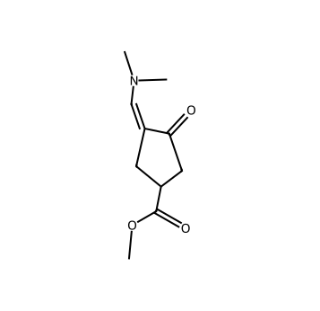 COC(=O)C1CC(=O)C(=CN(C)C)C1